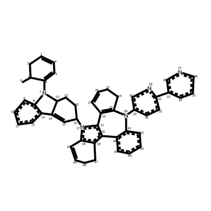 CC1CC=CC=C1N1c2ccccc2C2=CC(n3c4c(c5c3C3=C(CCC=C3)N(c3ccc(-c6cccnc6)nc3)c3ccccc3-5)CCC=C4)CCC21